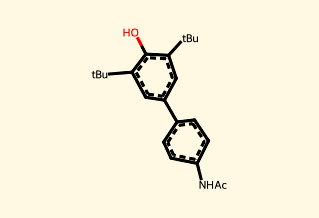 CC(=O)Nc1ccc(-c2cc(C(C)(C)C)c(O)c(C(C)(C)C)c2)cc1